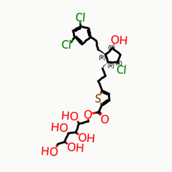 O=C(OCC(O)C(O)C(O)C(O)CO)c1ccc(CCC[C@@H]2[C@@H](CCc3cc(Cl)cc(Cl)c3)[C@H](O)C[C@H]2Cl)s1